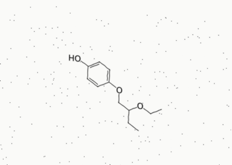 CCOC(CC)COc1ccc(O)cc1